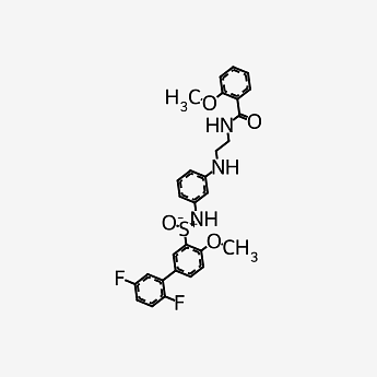 COc1ccccc1C(=O)NCCNc1cccc(N[S+]([O-])c2cc(-c3cc(F)ccc3F)ccc2OC)c1